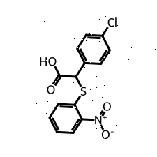 O=C(O)C(Sc1ccccc1[N+](=O)[O-])c1ccc(Cl)cc1